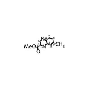 COC(=O)c1cnc2ccc(C)cc2n1